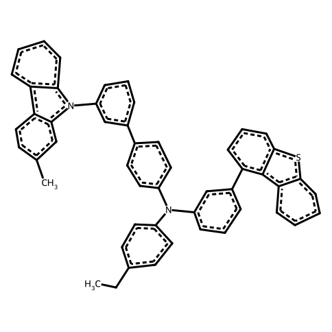 CCc1ccc(N(c2ccc(-c3cccc(-n4c5ccccc5c5ccc(C)cc54)c3)cc2)c2cccc(-c3cccc4sc5ccccc5c34)c2)cc1